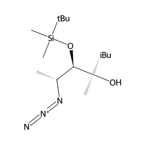 CC[C@@H](C)[C@@](C)(O)[C@H](O[Si](C)(C)C(C)(C)C)[C@@H](C)N=[N+]=[N-]